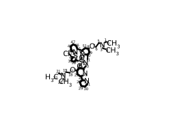 CCN(CC)CCOc1cc(CN(Cc2cc(OCCN(CC)CC)cc(-c3ccccn3)n2)S(=O)(=O)c2ccc(Cl)s2)nc(-c2ccccn2)c1